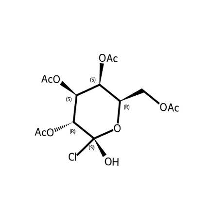 CC(=O)OC[C@H]1O[C@](O)(Cl)[C@H](OC(C)=O)[C@@H](OC(C)=O)[C@H]1OC(C)=O